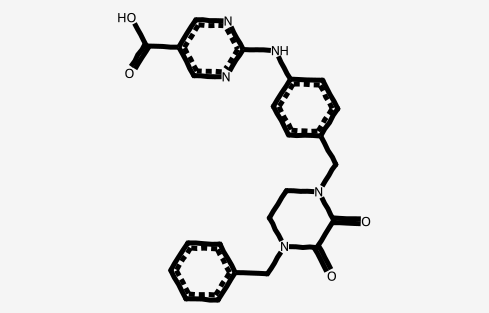 O=C(O)c1cnc(Nc2ccc(CN3CCN(Cc4ccccc4)C(=O)C3=O)cc2)nc1